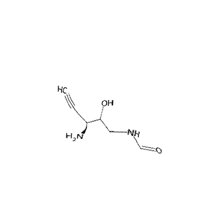 C#C[C@H](N)C(O)CNC=O